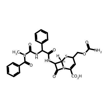 CN(C(=O)NC(C(=O)NC1C(=O)N2C(C(=O)O)=CC(COC(N)=O)S[C@@H]12)c1ccccc1)C(=O)c1ccccc1